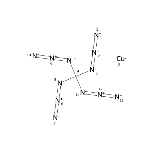 [Cu].[N-]=[N+]=NC(N=[N+]=[N-])(N=[N+]=[N-])N=[N+]=[N-]